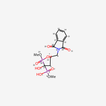 COP(=O)(O)C(O)(CCCN1C(=O)c2ccccc2C1=O)P(=O)(O)OC